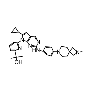 CN1CC2(CCN(c3ccc(Nc4ncc5cc(C6CC6)n(-c6cccc(C(C)(C)O)n6)c5n4)cc3)CC2)C1